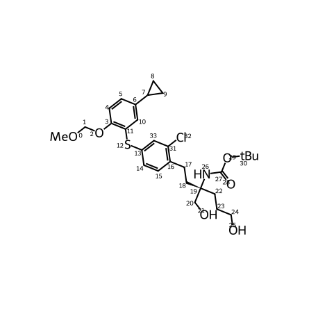 COCOc1ccc(C2CC2)cc1Sc1ccc(CC[C@](CO)(CCCO)NC(=O)OC(C)(C)C)c(Cl)c1